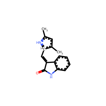 Cc1cc(C)[14c](C=C2C(=O)Nc3ccccc32)[nH]1